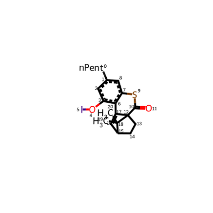 CCCCCc1cc(OI)c2c(c1)SC(=O)C13CCC(C=C21)C3(C)C